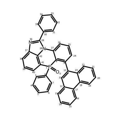 O=P1(c2ccccc2)c2c(-c3cc4ccccc4c4ccccc34)cccc2-n2c(-c3ccccc3)nc3cccc1c32